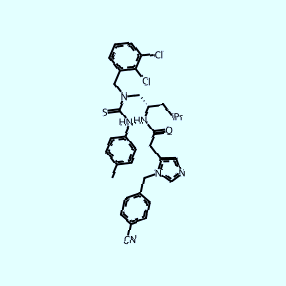 Cc1ccc(NC(=S)N(Cc2cccc(Cl)c2Cl)C[C@H](CC(C)C)NC(=O)Cc2cncn2Cc2ccc(C#N)cc2)cc1